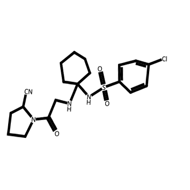 N#CC1CCCN1C(=O)CNC1(NS(=O)(=O)c2ccc(Cl)cc2)CCCCC1